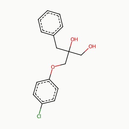 OCC(O)(COc1ccc(Cl)cc1)Cc1ccccc1